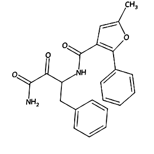 Cc1cc(C(=O)NC(Cc2ccccc2)C(=O)C(N)=O)c(-c2ccccc2)o1